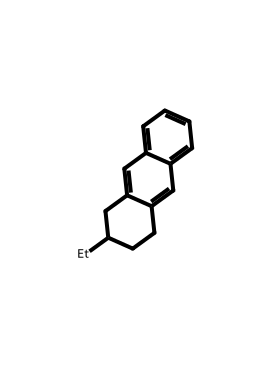 CCC1CCc2cc3ccccc3cc2C1